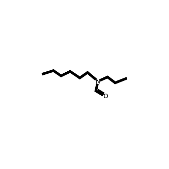 CCCCCCN([C]=O)CCC